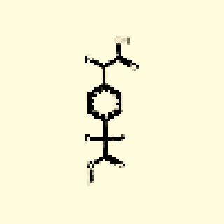 O=C(O)C(F)c1ccc(C(F)(F)C(=O)OF)cc1